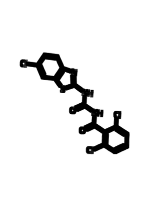 O=C(NC(=O)c1c(Cl)cccc1Cl)Nc1nc2ccc(Cl)cc2s1